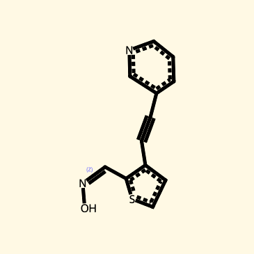 O/N=C\c1sccc1C#Cc1cccnc1